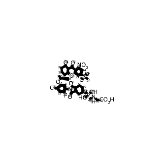 C#CC(C)Oc1cc(N2C(=O)C3=C(CCCC3)C2=O)c(F)cc1Cl.CS(=O)(=O)c1ccc(C(=O)C2C(=O)CCCC2=O)c([N+](=O)[O-])c1.O=C(O)CNCP(=O)(O)O